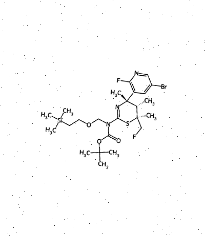 C[C@@H]1[C@@](C)(CF)SC(N(COCC[Si](C)(C)C)C(=O)OC(C)(C)C)=N[C@]1(C)c1cc(Br)cnc1F